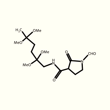 COC(C)(CCC(CNC(=O)C1CCN(C=O)C1=O)(OC)OC)OC